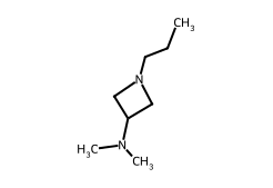 CCCN1CC(N(C)C)C1